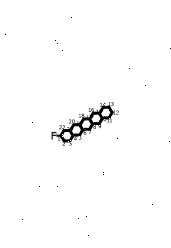 Fc1ccc2cc3cc4cc5ccccc5cc4cc3cc2c1